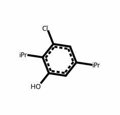 CC(C)c1cc(O)c(C(C)C)c(Cl)c1